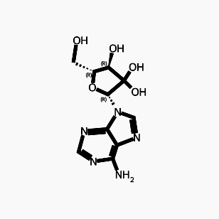 Nc1ncnc2c1ncn2[C@@H]1O[C@H](CO)[C@@H](O)C1(O)O